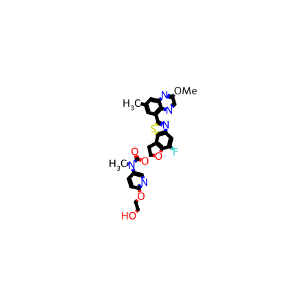 COc1cnc2c(-c3nc4cc(F)c5c(c4s3)C[C@@H](OC(=O)N(C)c3ccc(OCCO)nc3)O5)cc(C)cc2n1